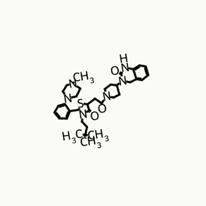 CN1CCN(c2ccccc2C2SC(CC(=O)N3CCC(N4Cc5ccccc5NC4=O)CC3)C(=O)N2CCC(C)(C)C)CC1